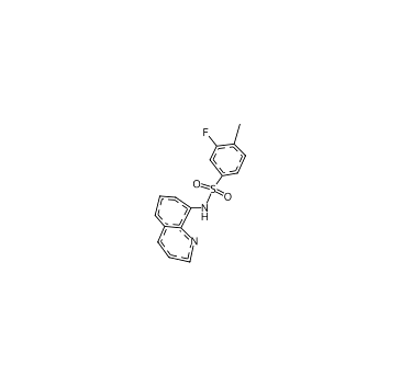 Cc1ccc(S(=O)(=O)Nc2cccc3cccnc23)cc1F